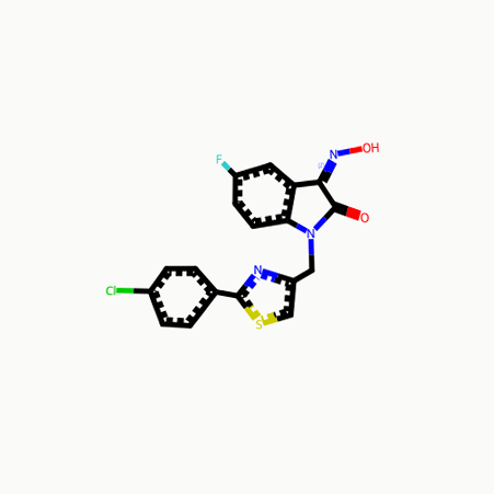 O=C1/C(=N\O)c2cc(F)ccc2N1Cc1csc(-c2ccc(Cl)cc2)n1